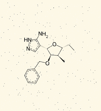 CC[C@H]1O[C@@H](c2cn[nH]c2N)[C@H](OCc2ccccc2)[C@@H]1C